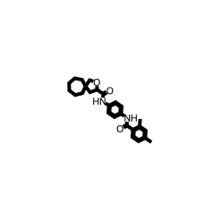 Cc1ccc(C(=O)Nc2ccc(NC(=O)C3CC4(CCCCCC4)CO3)cc2)c(C)c1